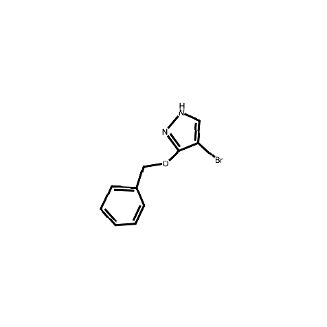 Brc1c[nH]nc1OCc1ccccc1